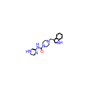 O=C(NC1=CNCC=N1)N1CCN(Cc2c[nH]c3ccccc23)CC1